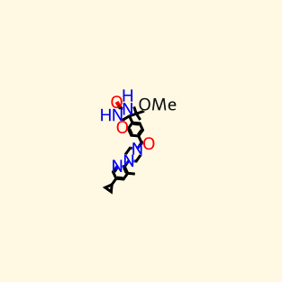 COCC(C)(C)C1(c2ccc(C(=O)N3CCN(c4ncc(C5CC5)cc4C)CC3)cc2)NC(=O)NC1=O